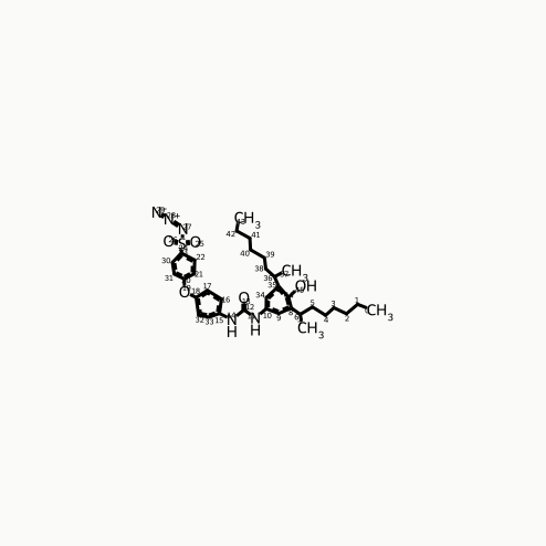 CCCCCCC(C)c1cc(NC(=O)Nc2ccc(Oc3ccc(S(=O)(=O)N=[N+]=[N-])cc3)cc2)cc(C(C)CCCCCC)c1O